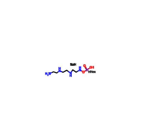 CCCCCCP(=O)(O)ONCCNCCNCCN.[NaH]